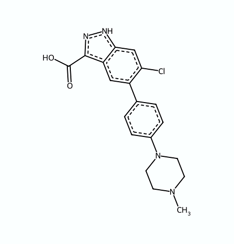 CN1CCN(c2ccc(-c3cc4c(C(=O)O)n[nH]c4cc3Cl)cc2)CC1